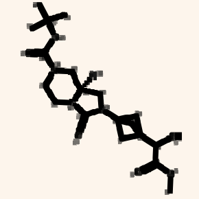 COC(=O)C(O)C12CC(N3C[C@@H]4CN(C(=O)OC(C)(C)C)CCN4C3=O)(C1)C2